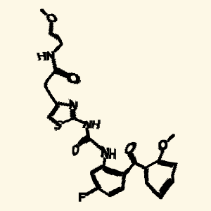 COCCNC(=O)Cc1csc(NC(=O)Nc2cc(F)ccc2C(=O)c2ccccc2OC)n1